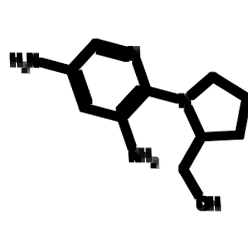 Nc1cnc(N2CCCC2CO)c(N)c1